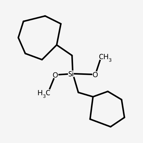 CO[Si](CC1CCCCCC1)(CC1CCCCC1)OC